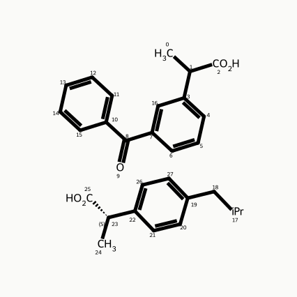 CC(C(=O)O)c1cccc(C(=O)c2ccccc2)c1.CC(C)Cc1ccc([C@H](C)C(=O)O)cc1